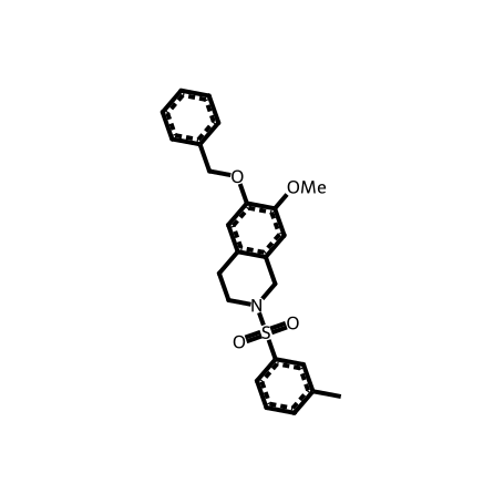 COc1cc2c(cc1OCc1ccccc1)CCN(S(=O)(=O)c1cccc(C)c1)C2